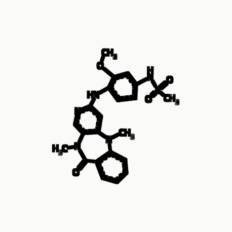 COc1cc(NS(C)(=O)=O)ccc1Nc1cc2c(cn1)N(C)C(=O)c1ccccc1N2C